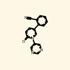 N#Cc1ccccc1-c1ccc(=O)n(-c2cncnc2)c1